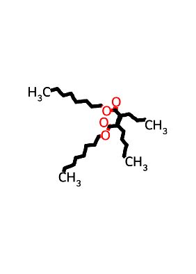 CCCCCCCCOC(=O)C(CCCC)=C(CCCCC)C(=O)OCCCCCCCC